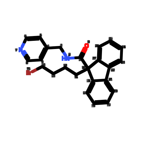 O=C(NCc1ccncc1)C1(CCCCBr)c2ccccc2-c2ccccc21